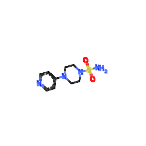 NS(=O)(=O)N1CCN(c2ccncc2)CC1